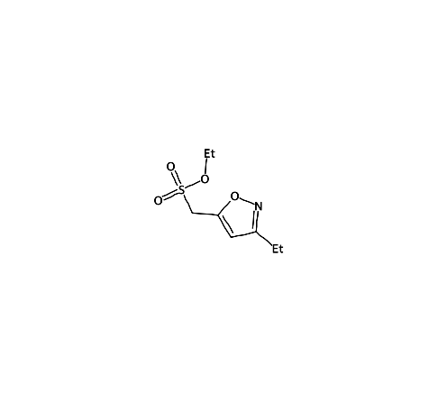 CCOS(=O)(=O)Cc1cc(CC)no1